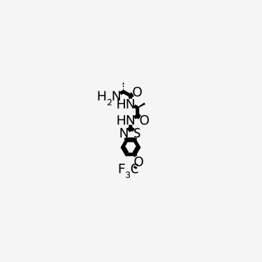 C[C@H](NC(=O)[C@@H](C)N)C(=O)Nc1nc2ccc(OC(F)(F)F)cc2s1